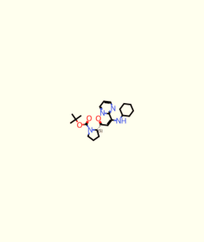 CC(C)(C)OC(=O)N1CCC[C@H]1C(=O)C=C(NC1CCCCC1)c1ncccn1